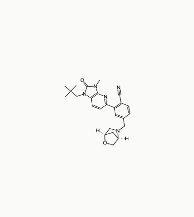 Cn1c(=O)n(CC(C)(C)C)c2ccc(-c3cc(CN4C[C@H]5C[C@@H]4CO5)ccc3C#N)nc21